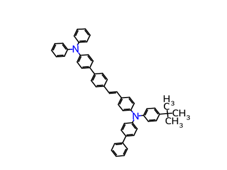 CC(C)(C)c1ccc(N(c2ccc(/C=C/c3ccc(-c4ccc(N(c5ccccc5)c5ccccc5)cc4)cc3)cc2)c2ccc(-c3ccccc3)cc2)cc1